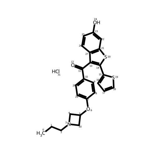 CCCN1CC(Oc2ccc(C(=O)c3c(-c4cccs4)sc4cc(O)ccc34)cc2)C1.Cl